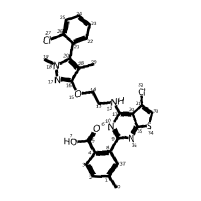 Cc1ccc(C(=O)O)c(-c2nc(NCCOc3nn(C)c(-c4ccccc4Cl)c3C)c3c(Cl)csc3n2)c1